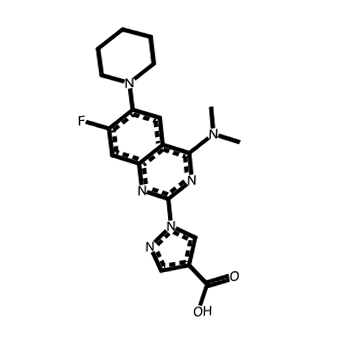 CN(C)c1nc(-n2cc(C(=O)O)cn2)nc2cc(F)c(N3CCCCC3)cc12